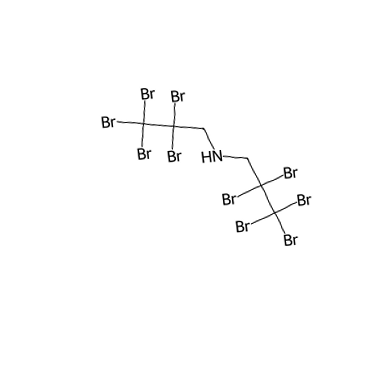 BrC(Br)(Br)C(Br)(Br)CNCC(Br)(Br)C(Br)(Br)Br